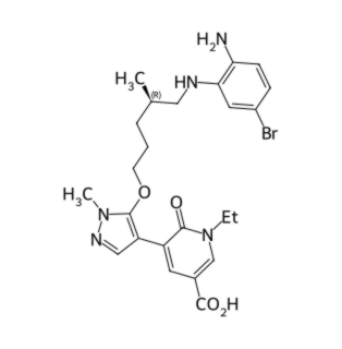 CCn1cc(C(=O)O)cc(-c2cnn(C)c2OCCC[C@@H](C)CNc2cc(Br)ccc2N)c1=O